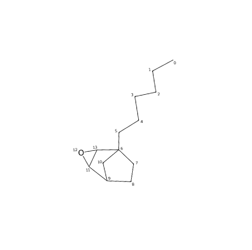 CCCCCCC12CCC(C1)C1OC12